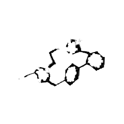 CC(C)CCn1nc(C(C)C)nc1Cc1ccc(-c2ccccc2-c2nnn[nH]2)cc1